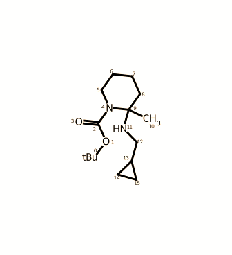 CC(C)(C)OC(=O)N1CCCCC1(C)NCC1CC1